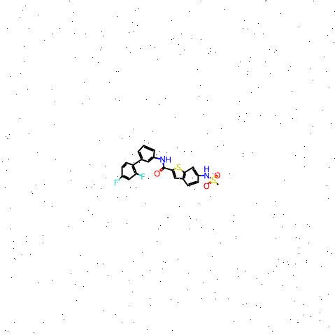 CS(=O)(=O)Nc1ccc2cc(C(=O)Nc3cccc(-c4ccc(F)cc4F)c3)sc2c1